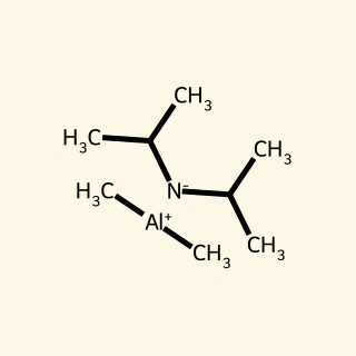 CC(C)[N-]C(C)C.[CH3][Al+][CH3]